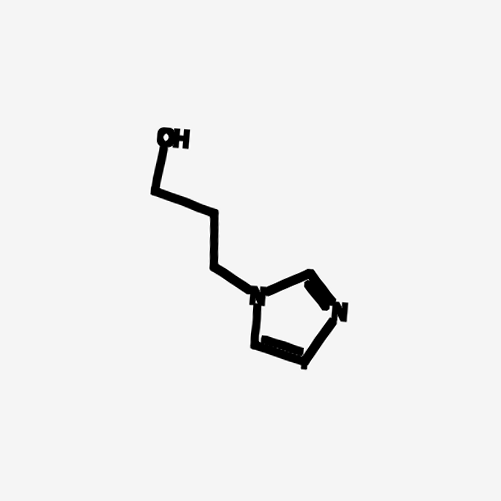 OCCCn1c[c]nc1